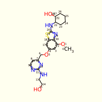 COc1cc(OCc2ccnc(NCCO)n2)cc2sc(NC3CCCC[C@@H]3O)nc12